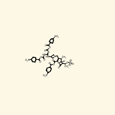 CC[Si](CC)(CC)O[C@H](C)C1C(=O)N2C(C(=O)OC(=O)c3ccc([N+](=O)[O-])cc3)=C(CN3CC(NC(=NC(=O)OC(=O)c4ccc([N+](=O)[O-])cc4)NC(=O)OC(=O)c4ccc([N+](=O)[O-])cc4)C3)[C@H](C)[C@H]12